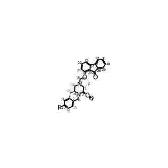 C[C@@H]1C(=C=O)N(Cc2ccc(F)cc2)[C@@H](C)CN1COc1cccc2c1C(=O)c1ccccc1-2